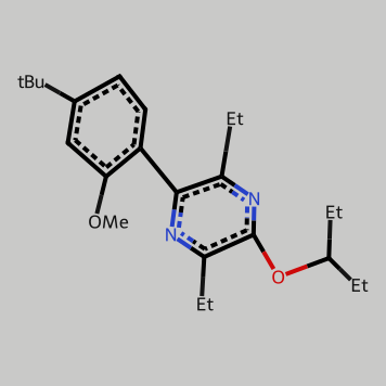 CCc1nc(-c2ccc(C(C)(C)C)cc2OC)c(CC)nc1OC(CC)CC